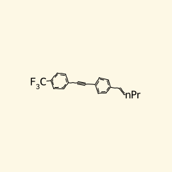 CCCC=Cc1ccc(C#Cc2ccc(C(F)(F)F)cc2)cc1